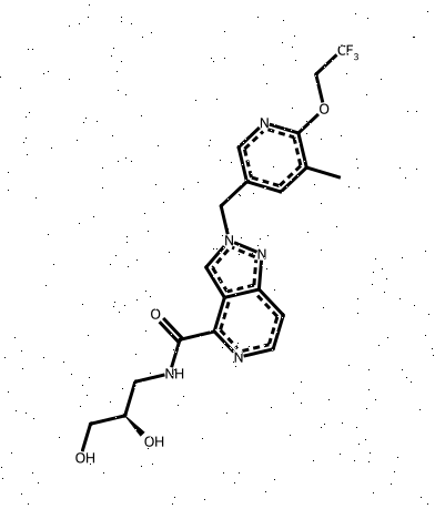 Cc1cc(Cn2cc3c(C(=O)NC[C@@H](O)CO)nccc3n2)cnc1OCC(F)(F)F